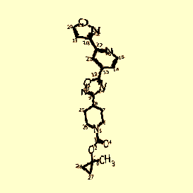 CC1(OC(=O)N2CCC(c3noc(-c4ccnc(-c5ccon5)c4)n3)CC2)CC1